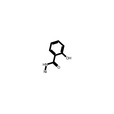 O=C([NH][Ni])c1ccccc1O